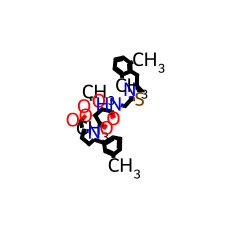 CC(=O)O[C@@H](C(=O)NCc1nc(Cc2c(C)cccc2C)cs1)[C@@H](OC(C)=O)C(=O)N1CCCC1c1cccc(C)c1